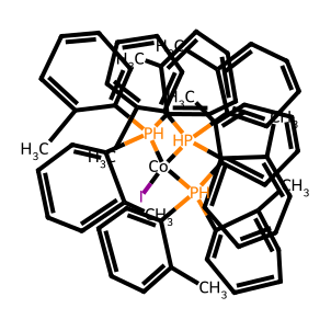 Cc1ccccc1[PH](c1ccccc1C)(c1ccccc1C)[Co]([I])([PH](c1ccccc1C)(c1ccccc1C)c1ccccc1C)[PH](c1ccccc1C)(c1ccccc1C)c1ccccc1C